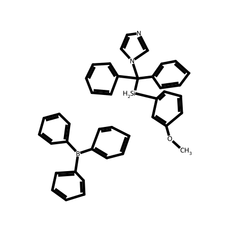 COc1cccc([SiH2]C(c2ccccc2)(c2ccccc2)n2ccnc2)c1.c1ccc(B(c2ccccc2)c2ccccc2)cc1